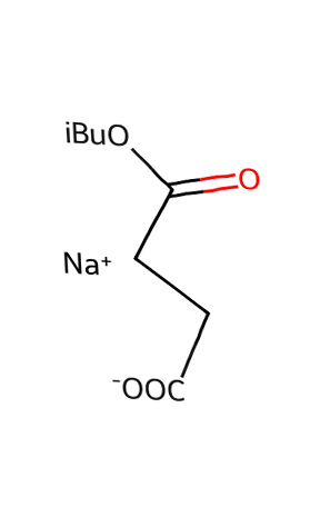 CC(C)COC(=O)CCC(=O)[O-].[Na+]